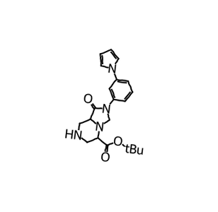 CC(C)(C)OC(=O)C1CNCC2C(=O)N(c3cccc(-n4cccc4)c3)CN12